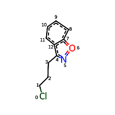 ClCCCc1noc2ccccc12